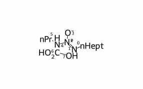 CCCCCCC/N=[N+](\[O-])NCCC.O=C(O)O